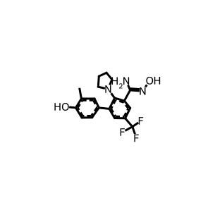 Cc1cc(-c2cc(C(F)(F)F)cc(/C(N)=N/O)c2N2CCCC2)ccc1O